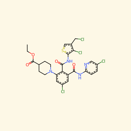 CCOC(=O)C1CCN(c2cc(Cl)cc(C(=O)Nc3ccc(Cl)cn3)c2C(=O)Nc2scc(CCl)c2Cl)CC1